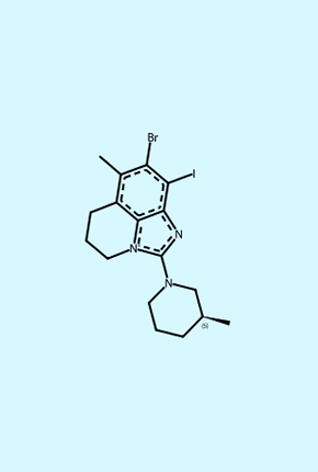 Cc1c(Br)c(I)c2nc(N3CCC[C@H](C)C3)n3c2c1CCC3